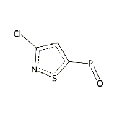 O=Pc1cc(Cl)ns1